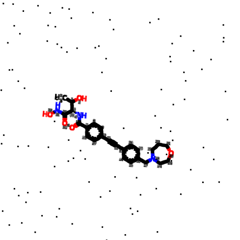 CC(O)[C@H](NC(=O)c1ccc(C#Cc2ccc(CN3CCCOCC3)cc2)cc1)C(=O)NO